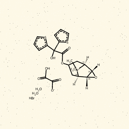 Br.C[N+]1(C)[C@@H]2CC(OC(=O)C(O)(c3cccs3)c3cccs3)C[C@H]1[C@@H]1O[C@@H]12.O.O.O=C([O-])C(=O)O